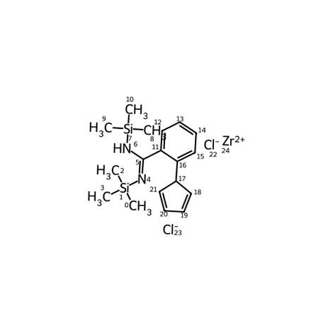 C[Si](C)(C)N=C(N[Si](C)(C)C)c1ccccc1C1C=CC=C1.[Cl-].[Cl-].[Zr+2]